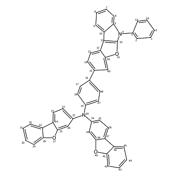 c1ccc(-n2c3ccccc3c3c4ccc(-c5ccc(N(c6ccc7c(c6)oc6ccccc67)c6ccc7c(c6)oc6ccccc67)cc5)cc4oc32)cc1